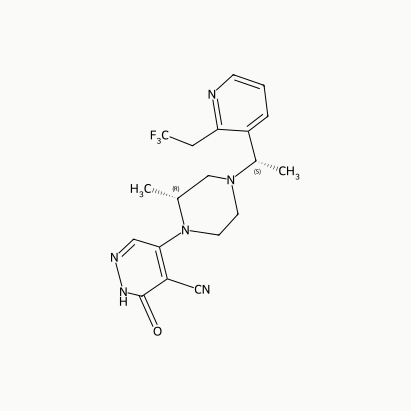 C[C@@H]1CN([C@@H](C)c2cccnc2CC(F)(F)F)CCN1c1cn[nH]c(=O)c1C#N